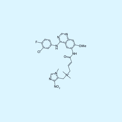 COc1cc2ncnc(Nc3ccc(F)c(Cl)c3)c2cc1NC(=O)/C=C/C[N+](C)(C)Cc1c([N+](=O)[O-])ncn1C